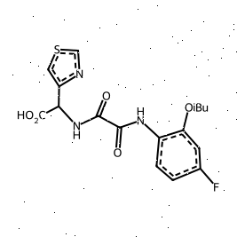 CC(C)COc1cc(F)ccc1NC(=O)C(=O)NC(C(=O)O)c1cscn1